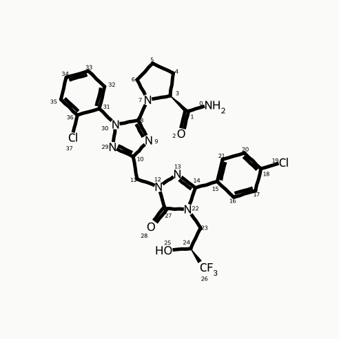 NC(=O)[C@@H]1CCCN1c1nc(Cn2nc(-c3ccc(Cl)cc3)n(C[C@H](O)C(F)(F)F)c2=O)nn1-c1ccccc1Cl